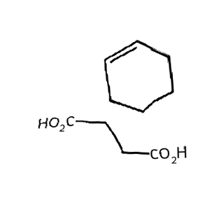 C1=CCCCC1.O=C(O)CCC(=O)O